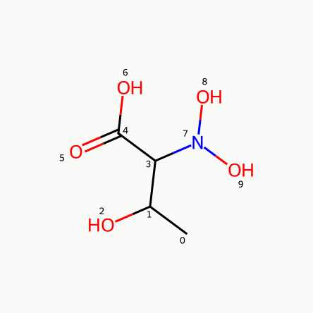 CC(O)C(C(=O)O)N(O)O